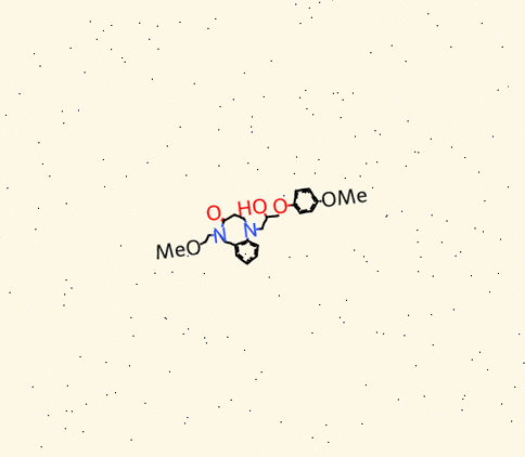 COCCN1Cc2ccccc2N(CC(O)COc2ccc(OC)cc2)CCC1=O